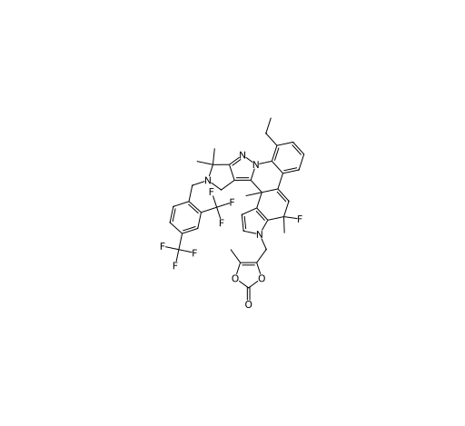 CCc1cccc2c1-n1nc3c(c1C1(C)C2=CC(C)(F)c2c1ccn2Cc1oc(=O)oc1C)CN(Cc1ccc(C(F)(F)F)cc1C(F)(F)F)C3(C)C